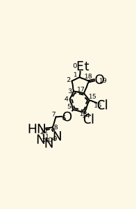 CCC1Cc2cc(OCc3nnn[nH]3)c(Cl)c(Cl)c2C1=O